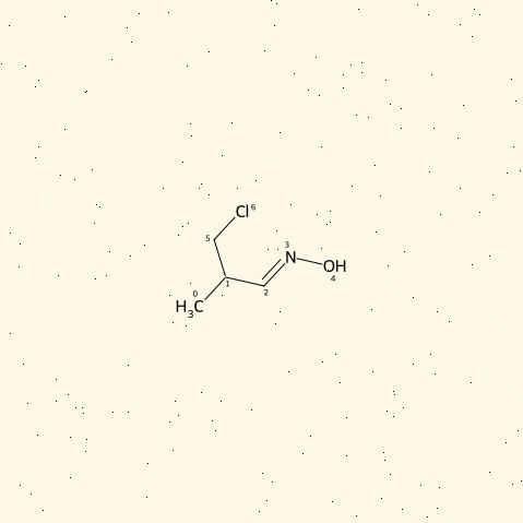 CC(C=NO)CCl